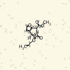 C=CCON1C(=O)N2C[C@@H]1c1ccoc1C2C(=O)OC